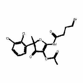 CC(=O)OC1=C(NC(=O)CCCBr)OC(C)(c2cccc(Cl)c2Cl)C1=O